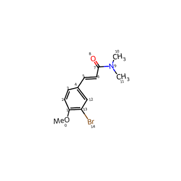 COc1ccc(/C=C/C(=O)N(C)C)cc1Br